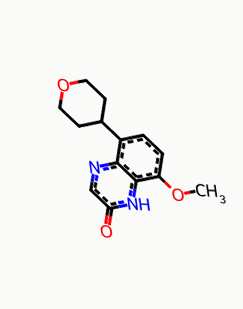 COc1ccc(C2CCOCC2)c2ncc(=O)[nH]c12